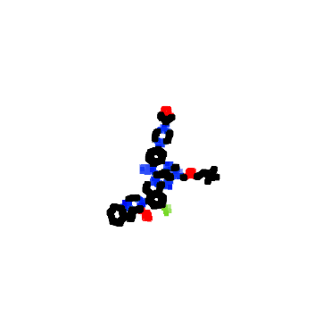 CCc1c(-c2nc(Nc3ccc(N4CCN(C5COC5)CC4)cc3)c3ncn(COCC[Si](C)(C)C)c3n2)cc(F)cc1N1CCn2c(cc3c2CCCC3)C1=O